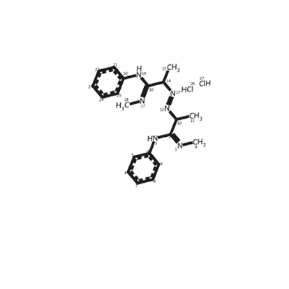 CN=C(Nc1ccccc1)C(C)N=NC(C)C(=NC)Nc1ccccc1.Cl.Cl